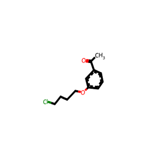 CC(=O)c1cccc(OCCCCCl)c1